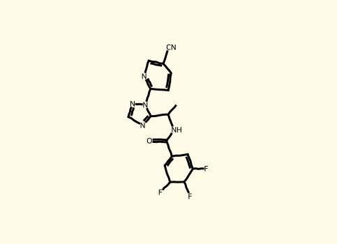 CC(NC(=O)C1=CC(F)C(F)C(F)=C1)c1ncnn1-c1ccc(C#N)cn1